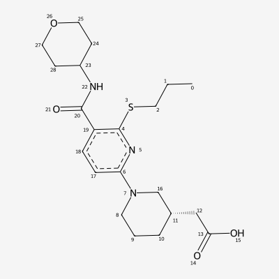 CCCSc1nc(N2CCC[C@@H](CC(=O)O)C2)ccc1C(=O)NC1CCOCC1